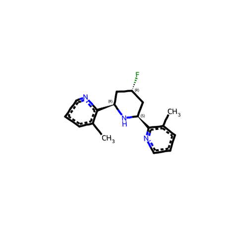 Cc1cccnc1[C@@H]1C[C@@H](F)C[C@H](c2ncccc2C)N1